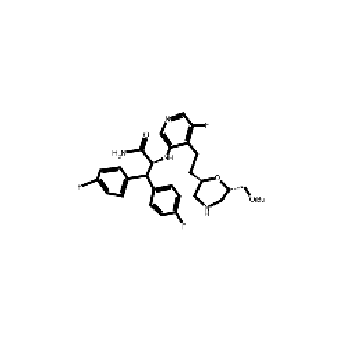 CC(C)COC[C@@H]1CNC[C@@H](CCc2c(F)cncc2N[C@H](C(N)=O)C(c2ccc(F)cc2)c2ccc(F)cc2)O1